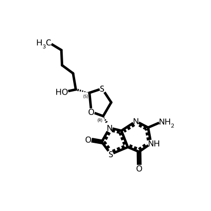 CCCCC(O)[C@H]1O[C@@H](n2c(=O)sc3c(=O)[nH]c(N)nc32)CS1